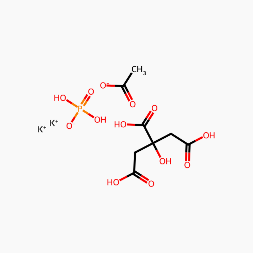 CC(=O)[O-].O=C(O)CC(O)(CC(=O)O)C(=O)O.O=P([O-])(O)O.[K+].[K+]